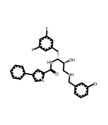 CCc1cccc(CNC[C@H](O)[C@@H](Cc2cc(F)cc(F)c2)NC(=O)c2cc(-c3ccccc3)cs2)c1